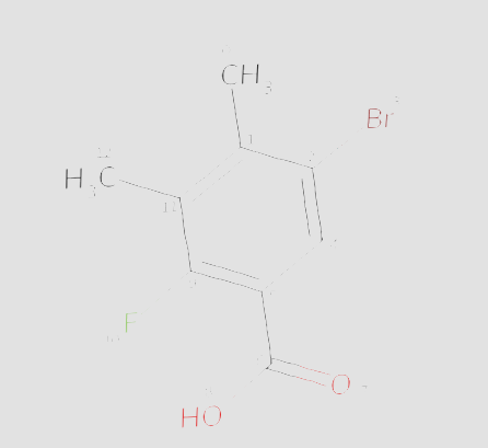 Cc1c(Br)cc(C(=O)O)c(F)c1C